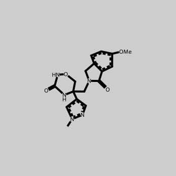 COc1ccc2c(c1)C(=O)N(CC1(c3cnn(C)c3)CONC(=O)N1)C2